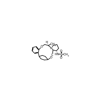 C[C@@H]1COc2ccccc2C2CCC(CC2)OCC2[C@@H](NS(C)(=O)=O)CCCN21